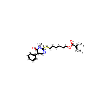 C=C(C)C(=O)OCCCCCCSc1ncc(-c2ccccc2)c(=O)n1C